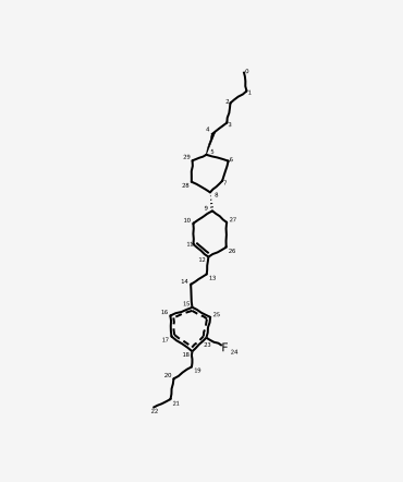 CCCCC[C@H]1CC[C@H](C2CC=C(CCc3ccc(CCCC)c(F)c3)CC2)CC1